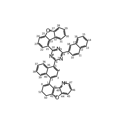 C1=C(c2ccc(-c3nc(-c4ccc5ccccc5c4)nc(-c4cccc5oc6ccccc6c45)n3)c3ccccc23)c2c(oc3cccnc23)CC1